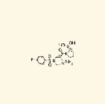 N[C@@H]1CCN(S(=O)(=O)c2ccc(F)cc2)C[C@H]1C(=O)N1CCC[C@H]1B(O)O